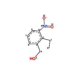 CCc1c([CH]O)cccc1[N+](=O)[O-]